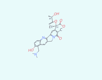 C=C(O[C@]1(CC)C(=O)OCc2c1cc1n(c2=O)Cc2cc3c(CN(C)C)c(O)ccc3nc2-1)[C@@H](C)O